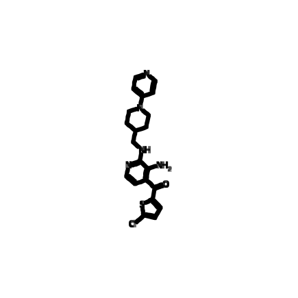 Nc1c(C(=O)c2ccc(Cl)s2)ccnc1NCC1CCN(c2ccncc2)CC1